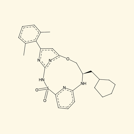 Cc1cccc(C)c1-c1cc2nc(n1)NS(=O)(=O)c1cccc(n1)N[C@H](CC1CCCCC1)CO2